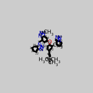 Cc1cc(C#C[Si](C)(C)C)ccc1Oc1cc(Cn2nnc3ccccc32)c2nnn(C)c2c1.c1cc2c3nnn2c3c1